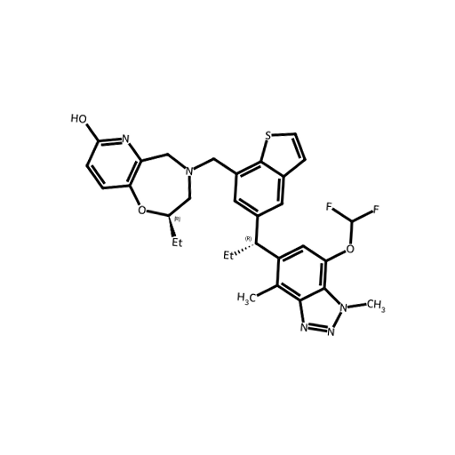 CC[C@@H]1CN(Cc2cc([C@@H](CC)c3cc(OC(F)F)c4c(nnn4C)c3C)cc3ccsc23)Cc2nc(O)ccc2O1